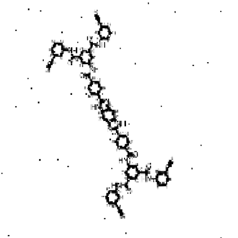 C#Cc1cccc(NC(=O)c2cc(NC(=O)c3ccc(-c4nc5cc6[nH]c(-c7ccc(C(=O)Nc8cc(C(=O)Nc9cccc(C#C)c9)cc(C(=O)Nc9cccc(C#C)c9)c8)cc7)nc6cc5[nH]4)cc3)cc(C(=O)Nc3cccc(C#C)c3)c2)c1